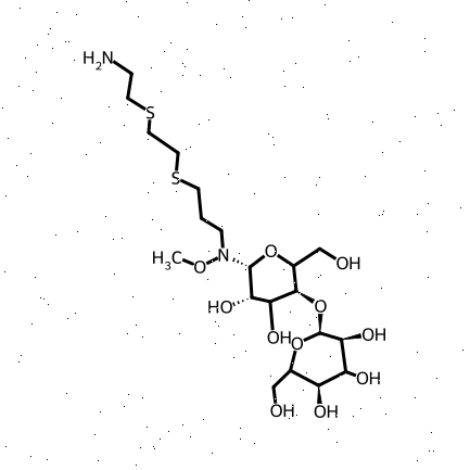 CON(CCCSCCSCCN)[C@@H]1OC(CO)[C@@H](O[C@@H]2OC(CO)[C@H](O)C(O)[C@@H]2O)C(O)[C@@H]1O